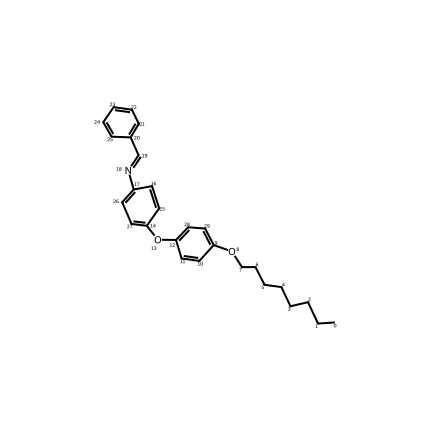 CCCCCCCCOc1ccc(Oc2ccc(N=Cc3ccccc3)cc2)cc1